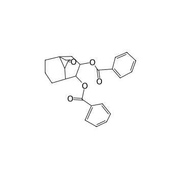 O=C(OC1CC23CCCC(C1OC(=O)c1ccccc1)C2C(=O)CC3)c1ccccc1